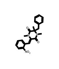 CN1C(=O)C(C)(Cc2ccccc2)N(C)C(=O)C1=Cc1ccccc1[N+](=O)[O-]